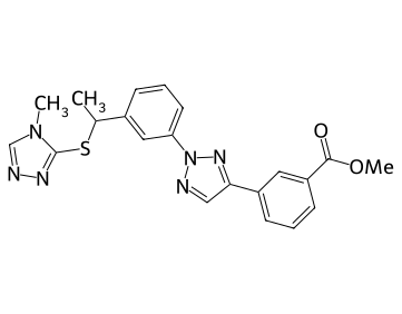 COC(=O)c1cccc(-c2cnn(-c3cccc(C(C)Sc4nncn4C)c3)n2)c1